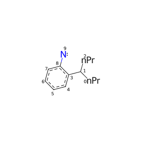 CCCC(CCC)c1ccccc1[N]